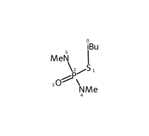 CCC(C)SP(=O)(NC)NC